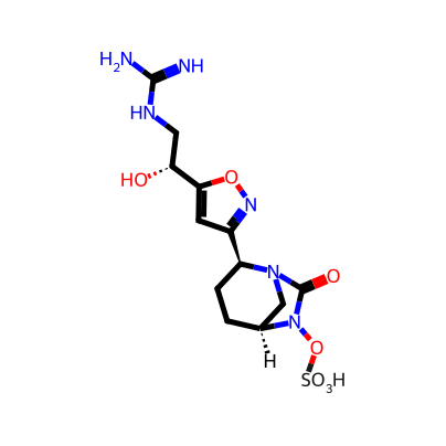 N=C(N)NC[C@@H](O)c1cc([C@@H]2CC[C@H]3CN2C(=O)N3OS(=O)(=O)O)no1